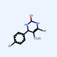 CCCC1=C(C(=O)OCC)C(c2ccc(CC)cc2)NC(O)N1